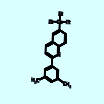 C[CH2][Ge]([CH2]C)([CH2]C)[c]1ccc2nc(-c3cc(C)cc(C)c3)ccc2c1